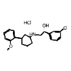 COc1ccccc1C1CCCC(NC[C@H](O)c2cccc(Cl)c2)C1.Cl